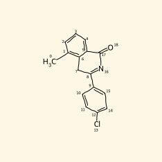 Cc1cccc2c1CC(c1ccc(Cl)cc1)=NC2=O